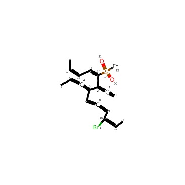 C=C=C(C(=C=CC)C=C=C/C(Br)=C\C)/C(=C\C=C/C)S(=O)(=O)CC